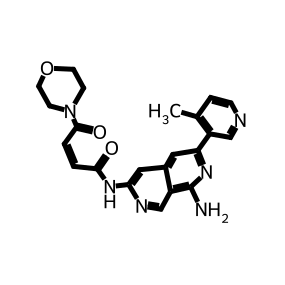 Cc1ccncc1-c1cc2cc(NC(=O)/C=C\C(=O)N3CCOCC3)ncc2c(N)n1